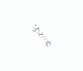 CCc1cc(NC(=O)CC2CCC3C4CC(Cl)=C5N(C)C(=O)CCC5(C)C4CCC23C)ccn1